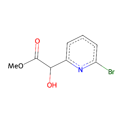 COC(=O)C(O)c1cccc(Br)n1